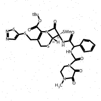 CS[C@@]1(NC(=O)C(NC(=O)N2CCN(C)C(=O)C2=O)c2ccccc2)C(=O)N2C(C(=O)OC(C)(C)C)=C(CSc3cnns3)CS[C@H]21